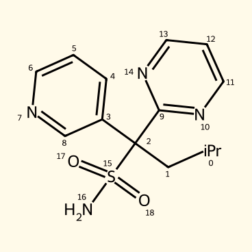 CC(C)CC(c1cccnc1)(c1ncccn1)S(N)(=O)=O